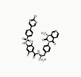 CCc1ncc(-c2ccc(S(=O)(=O)Nc3cc(F)c(C(=O)N[C@@H](Cc4ccc(-n5c(=O)c6ccncc6n(C)c5=O)cc4)C(=O)O)cc3F)cc2)cn1